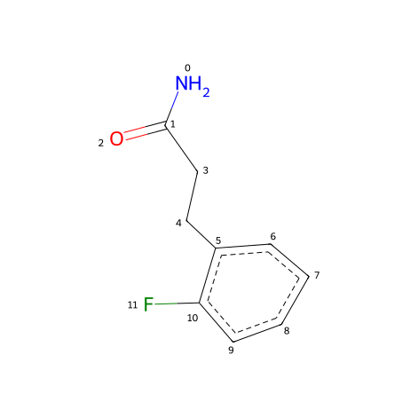 NC(=O)CCc1ccccc1F